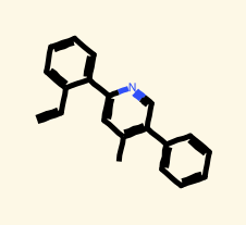 C=Cc1ccccc1-c1cc(C)c(-c2ccccc2)cn1